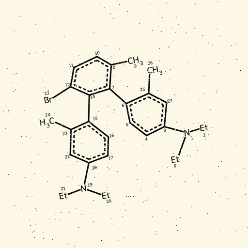 CCN(CC)c1ccc(-c2c(C)ccc(Br)c2-c2ccc(N(CC)CC)cc2C)c(C)c1